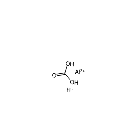 O=C(O)O.[Al+3].[H+]